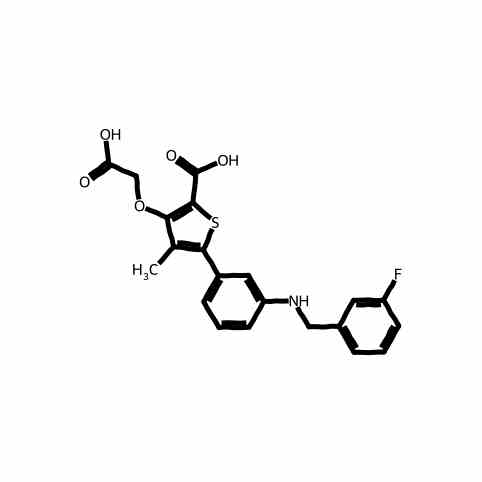 Cc1c(-c2cccc(NCc3cccc(F)c3)c2)sc(C(=O)O)c1OCC(=O)O